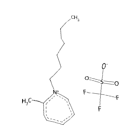 CCCCCC[n+]1ccccc1C.O=S(=O)([O-])C(F)(F)F